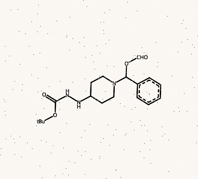 CC(C)(C)OC(=O)NNC1CCN(C(OC=O)c2ccccc2)CC1